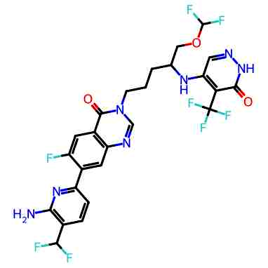 Nc1nc(-c2cc3ncn(CCCC(COC(F)F)Nc4cn[nH]c(=O)c4C(F)(F)F)c(=O)c3cc2F)ccc1C(F)F